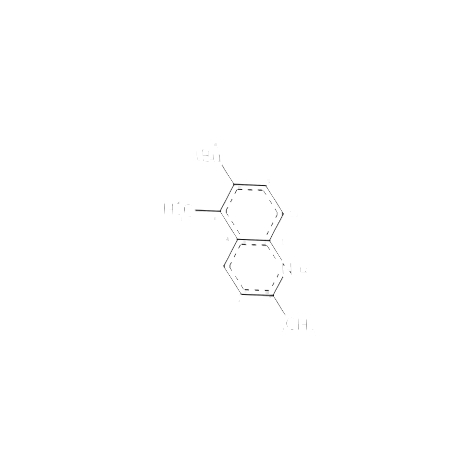 Cc1ccc2c(C)c(C(C)(C)C)ccc2n1